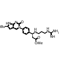 COC(=O)C[C@H](NCCCNC(=N)N)c1ccc(-n2cc3cc(C(C)(C)C)[nH]c3nc2=O)cc1